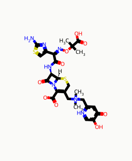 CC(C)(O/N=C(\C(=O)N[C@@H]1C(=O)N2C(C(=O)[O-])=C(C[N+](C)(C)Cc3cc(=O)c(O)c[nH]3)CS[C@H]12)c1csc(N)n1)C(=O)O